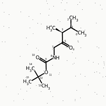 CC(C)[C@H](C)C(=O)CNC(=O)OC(C)(C)C